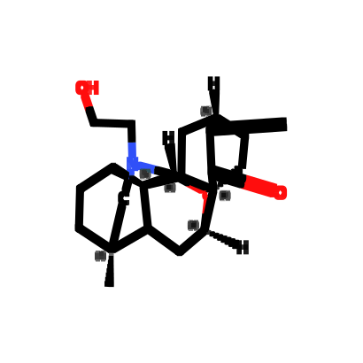 C=C1C(=O)[C@]23CC[C@H]1CC2[C@@]12CCC[C@@]4(C)CN(CCO)[C@@H]1O[C@@H]3CC42